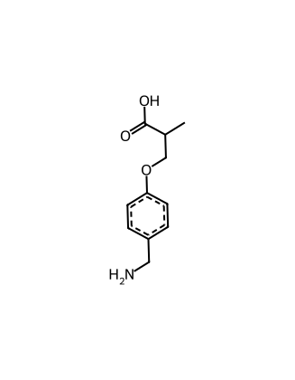 CC(COc1ccc(CN)cc1)C(=O)O